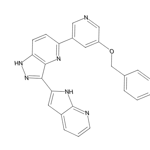 c1ccc(COc2cncc(-c3ccc4[nH]nc(-c5cc6cccnc6[nH]5)c4n3)c2)cc1